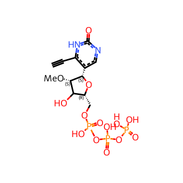 C#Cc1[nH]c(=O)ncc1[C@@H]1O[C@H](COP(=O)(O)OP(=O)(O)OP(=O)(O)O)C(O)[C@@H]1OC